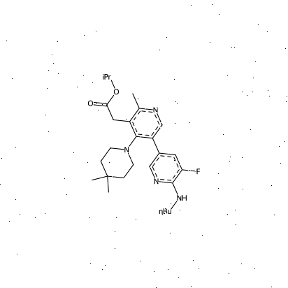 CCCCNc1ncc(-c2cnc(C)c(CC(=O)OC(C)C)c2N2CCC(C)(C)CC2)cc1F